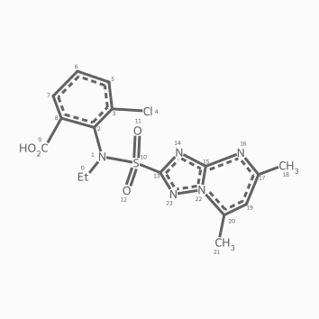 CCN(c1c(Cl)cccc1C(=O)O)S(=O)(=O)c1nc2nc(C)cc(C)n2n1